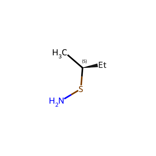 CC[C@H](C)SN